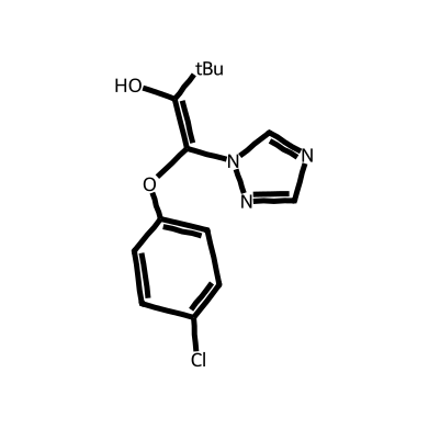 CC(C)(C)C(O)=C(Oc1ccc(Cl)cc1)n1cncn1